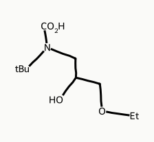 CCOCC(O)CN(C(=O)O)C(C)(C)C